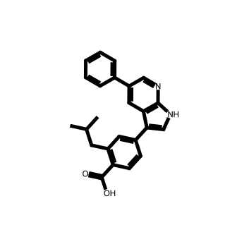 CC(C)Cc1cc(-c2c[nH]c3ncc(-c4ccccc4)cc23)ccc1C(=O)O